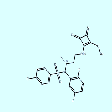 CC(C)Oc1c(NCC[C@@H](C)N(c2cc(F)ccc2F)S(=O)(=O)c2ccc(Cl)cc2)c(=O)c1=O